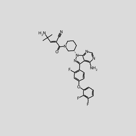 CC(C)(N)C=C(C#N)C(=O)N1CCC[C@H](n2nc(-c3ccc(Oc4cccc(F)c4F)cc3F)c3c(N)ncnc32)C1